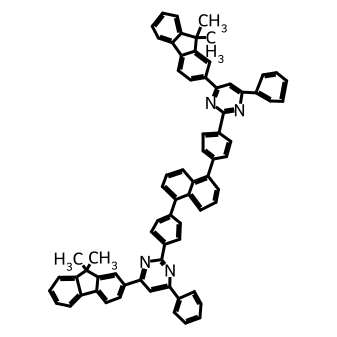 CC1(C)c2ccccc2-c2ccc(-c3cc(-c4ccccc4)nc(-c4ccc(-c5cccc6c(-c7ccc(-c8nc(-c9ccccc9)cc(-c9ccc%10c(c9)C(C)(C)c9ccccc9-%10)n8)cc7)cccc56)cc4)n3)cc21